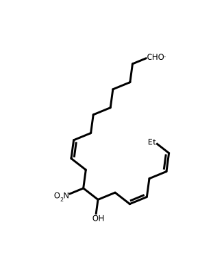 CC/C=C\C/C=C\CC(O)C(C/C=C\CCCCCC[C]=O)[N+](=O)[O-]